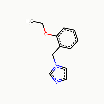 CCOc1ccccc1Cn1ccnc1